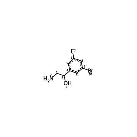 NCC(O)c1cc(F)cc(Br)c1